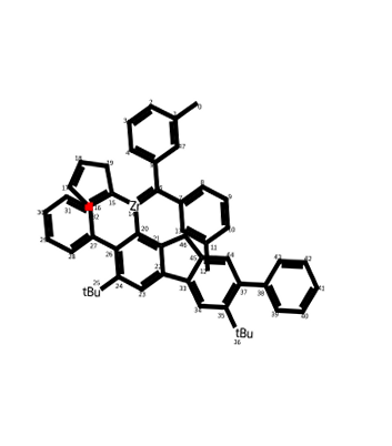 Cc1cccc([C](c2cccc(C)c2)=[Zr]([C]2=CC=CC2)[c]2c3c(cc(C(C)(C)C)c2-c2ccccc2)-c2cc(C(C)(C)C)c(-c4ccccc4)cc2C3)c1